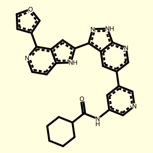 O=C(Nc1cncc(-c2cnc3[nH]nc(-c4cc5c(-c6ccoc6)nccc5[nH]4)c3c2)c1)C1CCCCC1